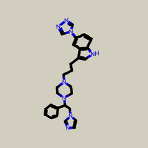 c1ccc(C(Cn2ccnc2)N2CCN(CCCc3c[nH]c4ccc(-n5cnnc5)cc34)CC2)cc1